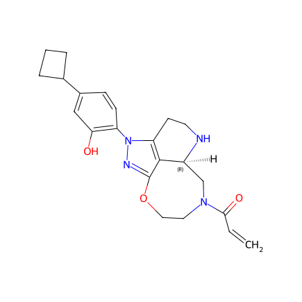 C=CC(=O)N1CCOc2nn(-c3ccc(C4CCC4)cc3O)c3c2[C@H](C1)NCC3